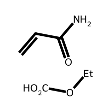 C=CC(N)=O.CCOC(=O)O